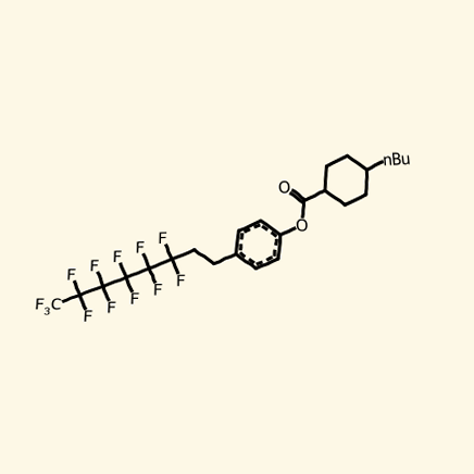 CCCCC1CCC(C(=O)Oc2ccc(CCC(F)(F)C(F)(F)C(F)(F)C(F)(F)C(F)(F)C(F)(F)F)cc2)CC1